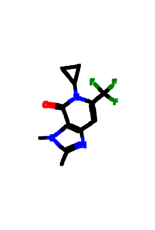 Cc1nc2cc(C(F)(F)F)n(C3CC3)c(=O)c2n1C